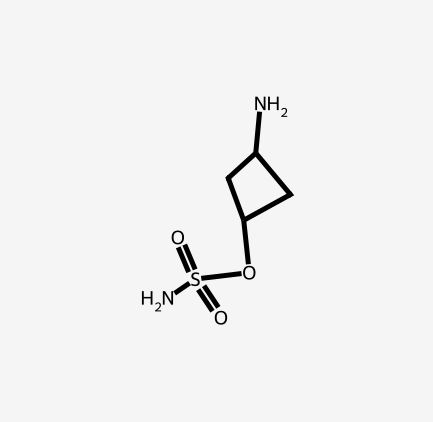 NC1CC(OS(N)(=O)=O)C1